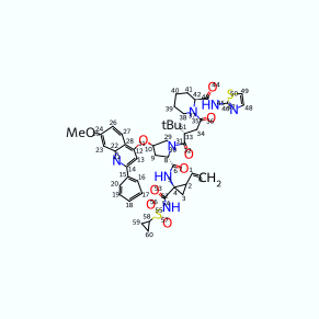 C=CC1C[C@]1(NC(=O)[C@@H]1C[C@@H](Oc2cc(-c3ccccc3)nc3cc(OC)ccc23)CN1C(=O)[C@@H](CC(=O)N1CCCC[C@H]1C(=O)Nc1nccs1)C(C)(C)C)C(=O)NS(=O)(=O)C1CC1